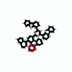 c1ccc(-c2ccccc2-c2c(-c3nc(-c4cccc5c4sc4ccccc45)cc(-c4cccc5c4sc4ccccc45)n3)ccc(-c3cccc4ccccc34)c2-c2ccccc2)cc1